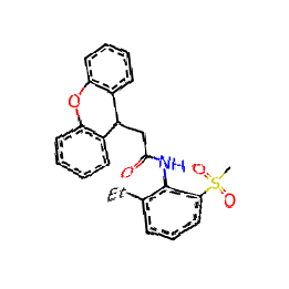 CCc1cccc(S(C)(=O)=O)c1NC(=O)CC1c2ccccc2Oc2ccccc21